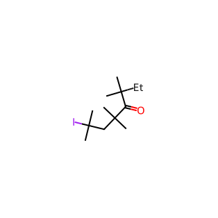 CCC(C)(C)C(=O)C(C)(C)CC(C)(C)I